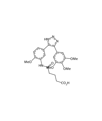 COc1ccc(-c2[nH]nnc2-c2cc(OC)c(OC)c(OC)c2)cc1NC(=O)CCCC(=O)O